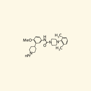 CCCN1CCC(c2cc(NC(=O)N3CCN(c4c(C)cccc4C)CC3)ccc2OC)CC1